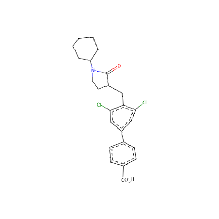 O=C(O)c1ccc(-c2cc(Cl)c(CC3CCN(C4CCCCC4)C3=O)c(Cl)c2)cc1